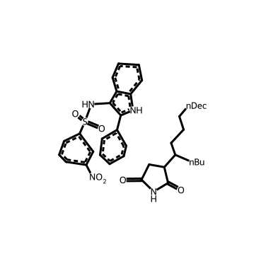 CCCCCCCCCCCCCC(CCCC)C1CC(=O)NC1=O.O=[N+]([O-])c1cccc(S(=O)(=O)Nc2c(-c3ccccc3)[nH]c3ccccc23)c1